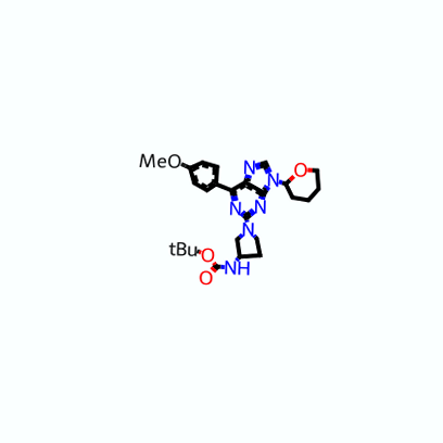 COc1ccc(-c2nc(N3CCC(NC(=O)OC(C)(C)C)C3)nc3c2ncn3C2CCCCO2)cc1